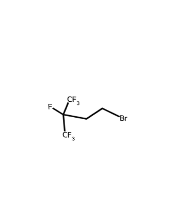 FC(F)(F)C(F)(CCBr)C(F)(F)F